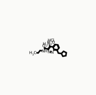 CCCNC(=O)c1nnc2c(CC3CCCC3)cccc2c1N.Cl.O